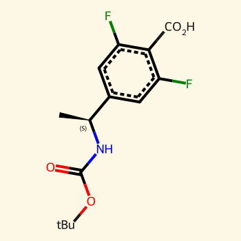 C[C@H](NC(=O)OC(C)(C)C)c1cc(F)c(C(=O)O)c(F)c1